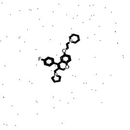 Fc1ccc(C2=C(CN3CCCC3)COc3ccc(OCCN4CCCCC4)cc32)cc1